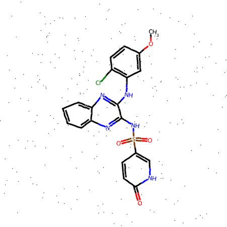 COc1ccc(Cl)c(Nc2nc3ccccc3nc2NS(=O)(=O)c2ccc(=O)[nH]c2)c1